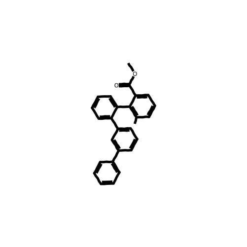 COC(=O)c1cccc(C)c1-c1ccccc1-c1cccc(-c2ccccc2)c1